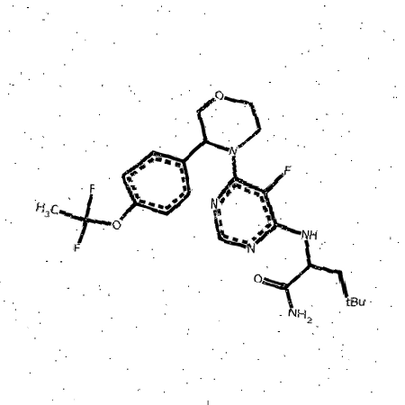 CC(C)(C)CC(Nc1ncnc(N2CCOCC2c2ccc(OC(C)(F)F)cc2)c1F)C(N)=O